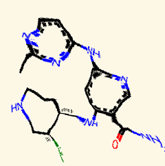 Cc1nccc(Nc2cc(N[C@@H]3CCNC[C@@H]3F)c(C(N)=O)cn2)n1